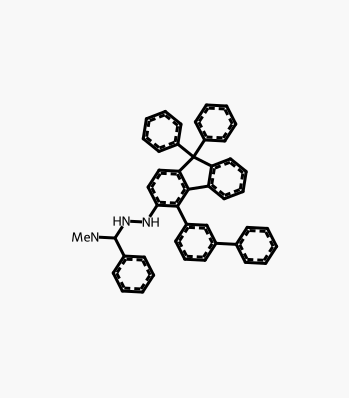 CNC(NNc1ccc2c(c1-c1cccc(-c3ccccc3)c1)-c1ccccc1C2(c1ccccc1)c1ccccc1)c1ccccc1